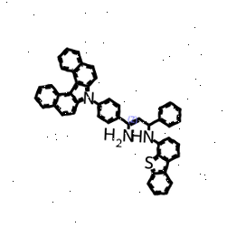 N/C(=C\C(Nc1cccc2c1sc1ccccc12)c1ccccc1)c1ccc(-n2c3ccc4ccccc4c3c3c4ccccc4ccc32)cc1